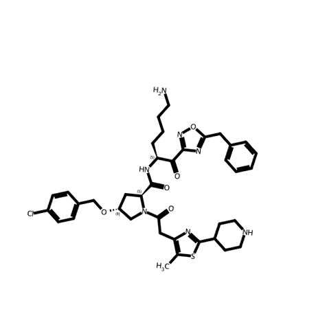 Cc1sc(C2CCNCC2)nc1CC(=O)N1C[C@H](OCc2ccc(Cl)cc2)C[C@H]1C(=O)N[C@@H](CCCCN)C(=O)c1noc(Cc2ccccc2)n1